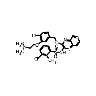 Cc1c(Cl)cccc1S(=O)(=O)Nc1nc2ccncc2nc1OCc1ccc(Cl)c(OCCN(C)C)c1